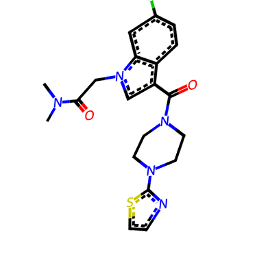 CN(C)C(=O)Cn1cc(C(=O)N2CCN(c3nccs3)CC2)c2ccc(Cl)cc21